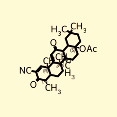 CC(=O)O[C@]12CCC(C)(C)CC1C1C(=O)C=C3[C@@]4(C)C=C(C#N)C(=O)[C@@H](C)C4CC[C@@]3(C)[C@]1(C)CC2